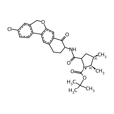 C[C@@H]1CC(C(=O)NC2CCc3cc4c(cc3C2=O)OCc2cc(Cl)ccc2-4)N(C(=O)OC(C)(C)C)[C@@H]1C